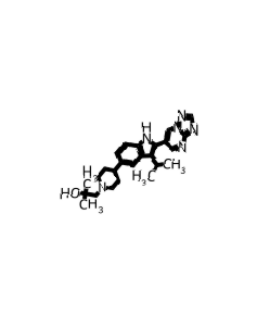 CC(C)c1c(-c2cnc3ncnn3c2)[nH]c2ccc(C3CCN(CC(C)(C)O)CC3)cc12